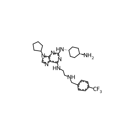 N[C@H]1CC[C@H](Nc2nc(NCCNCc3ccc(C(F)(F)F)cc3)c3ncn(C4CCCC4)c3n2)CC1